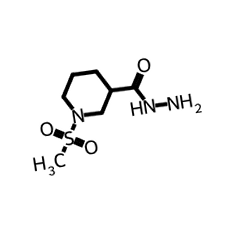 CS(=O)(=O)N1CCCC(C(=O)NN)C1